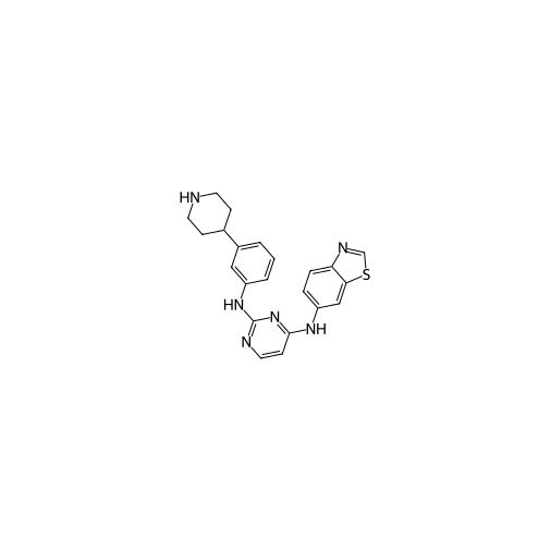 c1cc(Nc2nccc(Nc3ccc4ncsc4c3)n2)cc(C2CCNCC2)c1